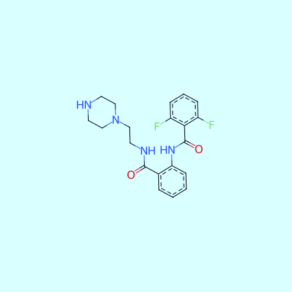 O=C(NCCN1CCNCC1)c1ccccc1NC(=O)c1c(F)cccc1F